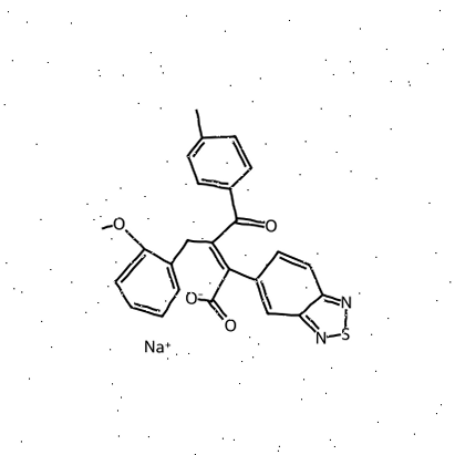 COc1ccccc1CC(C(=O)c1ccc(C)cc1)=C(C(=O)[O-])c1ccc2nsnc2c1.[Na+]